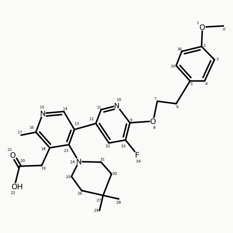 COc1ccc(CCOc2ncc(-c3cnc(C)c(CC(=O)O)c3N3CCC(C)(C)CC3)cc2F)cc1